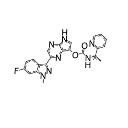 C[C@@H](NC(=O)Oc1c[nH]c2ncc(-c3nn(C)c4cc(F)ccc34)nc12)c1ccccn1